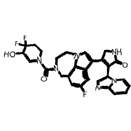 O=C1NCC(c2cn3c4c(cc(F)cc24)CN(C(=O)N2CCC(F)(F)C(O)C2)CC3)=C1c1cnc2ccccn12